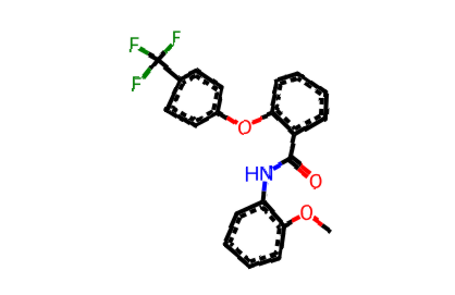 COc1ccccc1NC(=O)c1ccccc1Oc1ccc(C(F)(F)F)cc1